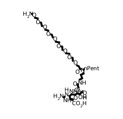 CCCCCN(CCCCNC(=O)CO[C@@H]([C@@H]1OC(C(=O)O)=C[C@H](NC(=N)N)[C@H]1NC(C)=O)[C@H](O)CO)C(=O)CCOCCOCCOCCOCCOCCOCCOCCOCCON